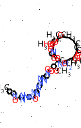 CO[C@H]1C[C@@H]2CC[C@@H](C)[C@@](O)(O2)C(=O)C(=O)N2CCCC[C@H]2C(=O)O[C@H]([C@H](N)C[C@@H]2CC[C@@H](OC(=O)N3CCc4nc(N5CCN(c6cnc(C(=O)N7CCN(c8ncc(C(=O)N9CCc%10cc(C)ccc%10C9)cn8)CC7)nc6)CC5)ncc4C3)[C@H](OC)C2)CC(=O)[C@H](C)/C=C(\C)[C@@H](O)[C@@H](O)C(=O)[C@H](C)C[C@H](C)/C=C/C=C/C=C/1C